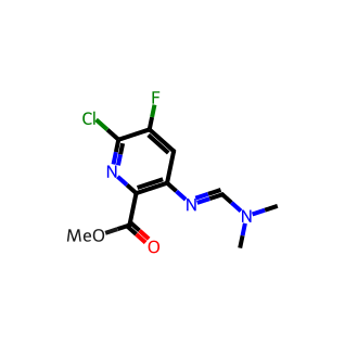 COC(=O)c1nc(Cl)c(F)cc1N=CN(C)C